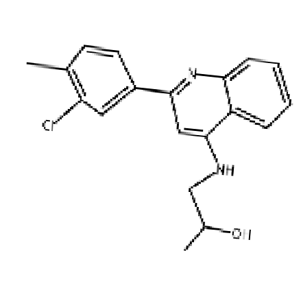 Cc1ccc(-c2cc(NCC(C)O)c3ccccc3n2)cc1Cl